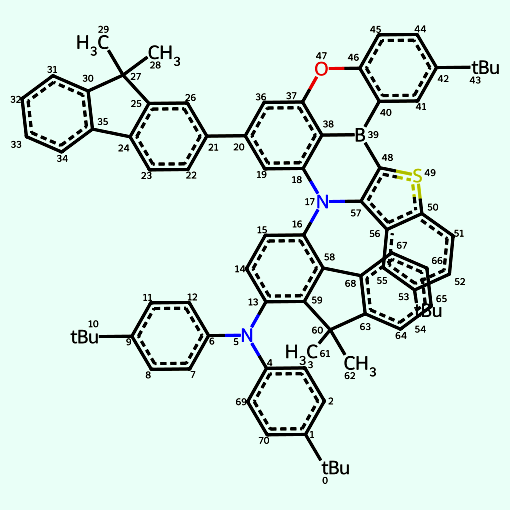 CC(C)(C)c1ccc(N(c2ccc(C(C)(C)C)cc2)c2ccc(N3c4cc(-c5ccc6c(c5)C(C)(C)c5ccccc5-6)cc5c4B(c4cc(C(C)(C)C)ccc4O5)c4sc5ccc(C(C)(C)C)cc5c43)c3c2C(C)(C)c2ccccc2-3)cc1